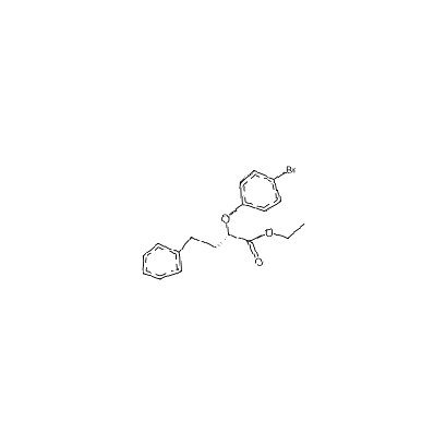 CCOC(=O)[C@H](CCc1ccccc1)Oc1ccc(Br)cc1